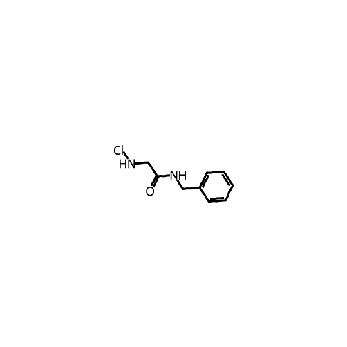 O=C(CNCl)NCc1ccccc1